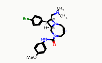 COc1ccc(NC(=O)N2C/C=C\CN3[C@H](CN(C)C)[C@H](c4ccc(Br)cc4)[C@@H]3C2)cc1